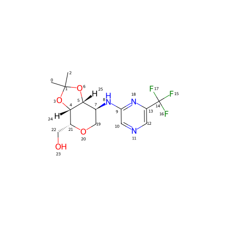 CC1(C)O[C@@H]2[C@H](O1)[C@@H](Nc1cncc(C(F)(F)F)n1)CO[C@@H]2CO